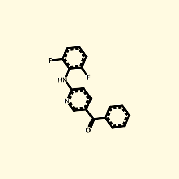 O=C(c1ccccc1)c1ccc(Nc2c(F)cccc2F)nc1